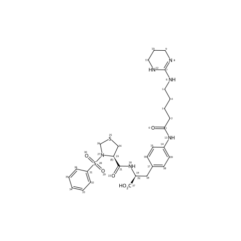 O=C(CCCCNC1=NCCCN1)Nc1ccc(C[C@H](NC(=O)[C@@H]2CSCN2S(=O)(=O)c2ccccc2)C(=O)O)cc1